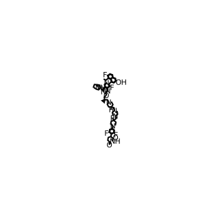 CCc1c(F)ccc2cc(O)cc(-c3ncc4c(N5CC6CCC(C5)N6)nc(OCC5(CN6CCC(F)(CN7CCN(CC8(F)CCN(c9cc(F)c(C%10CCC(=O)NC%10=O)c(F)c9)CC8)CC7)CC6)CC5)nc4c3F)c12